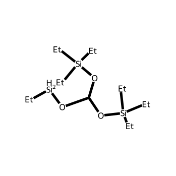 CC[SiH2]OC(O[Si](CC)(CC)CC)O[Si](CC)(CC)CC